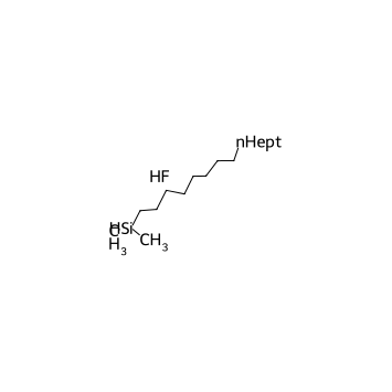 CCCCCCCCCCCCCCC[SiH](C)C.F